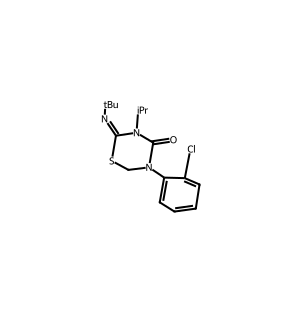 CC(C)N1C(=O)N(c2ccccc2Cl)CSC1=NC(C)(C)C